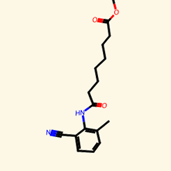 COC(=O)CCCCCCC(=O)Nc1c(C)cccc1C#N